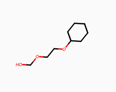 OCOCCOC1CCCCC1